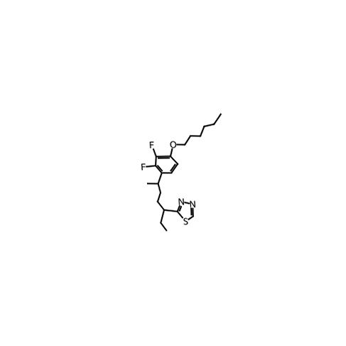 CCCCCCOc1ccc(C(C)CCC(CC)c2nncs2)c(F)c1F